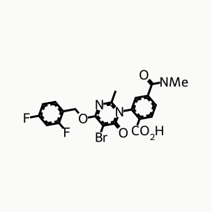 CNC(=O)c1ccc(C(=O)O)c(-n2c(C)nc(OCc3ccc(F)cc3F)c(Br)c2=O)c1